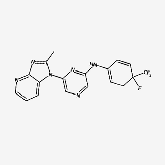 Cc1nc2ncccc2n1-c1cncc(NC2=CCC(F)(C(F)(F)F)C=C2)n1